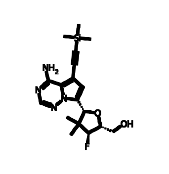 CC1(C)[C@H](F)[C@@H](CO)O[C@H]1c1cc(C#C[Si](C)(C)C)c2c(N)ncnn12